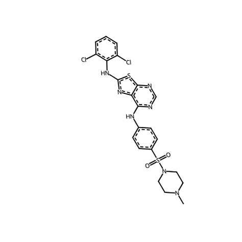 CN1CCN(S(=O)(=O)c2ccc(Nc3ncnc4sc(Nc5c(Cl)cccc5Cl)nc34)cc2)CC1